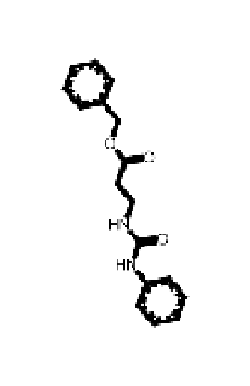 O=C(NCCC(=O)OCc1ccccc1)Nc1ccccc1